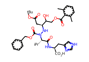 Cc1cccc(C)c1C(=O)OCC(O)[C@H](CC(=O)OC(C)(C)C)NN(C(=O)OCc1ccccc1)[C@H](C(=O)N[C@@H](Cc1c[nH]cn1)C(=O)O)C(C)C